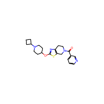 O=C(c1cccnc1)N1CCc2nc(OC3CCN(C4CCC4)CC3)sc2C1